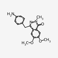 COc1cc2c(Cc3ccc(N)cc3)nn(C)c(=O)c2cc1OC